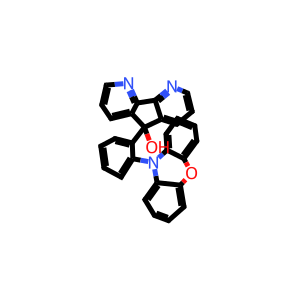 OC1(c2ccccc2N2c3ccccc3Oc3ccccc32)c2cccnc2-c2ncccc21